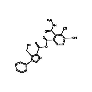 N#Cc1c(O)ccc(C(=O)OC(=O)c2occ(-c3ccccc3)c2CO)c1C(=O)NN